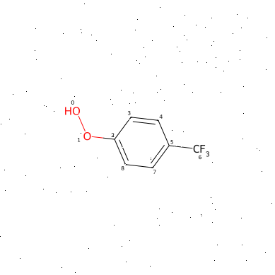 OOc1ccc(C(F)(F)F)cc1